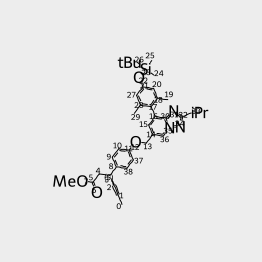 CC#C[C@@H](CC(=O)OC)c1ccc(OCc2cc(-c3c(C)cc(O[Si](C)(C)C(C)(C)C)cc3C)c3nc(C(C)C)nn3c2)cc1